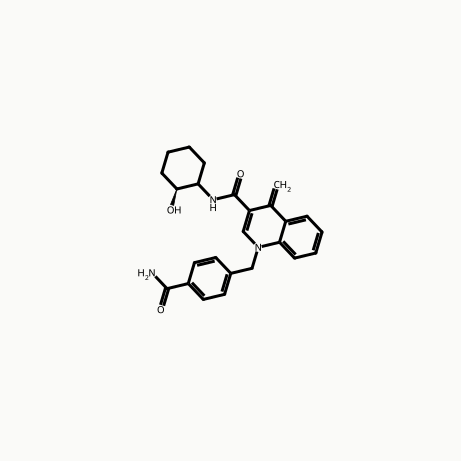 C=C1C(C(=O)NC2CCCC[C@@H]2O)=CN(Cc2ccc(C(N)=O)cc2)c2ccccc21